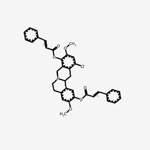 COc1cc2c(cc1OC(=O)/C=C/c1ccccc1)C1Cc3c(Cl)cc(OC)c(OC(=O)/C=C/c4ccccc4)c3CN1CC2